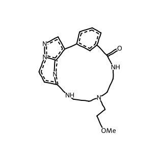 COCCN1CCNC(=O)c2cccc(c2)-c2cnn3ccc(nc23)NCC1